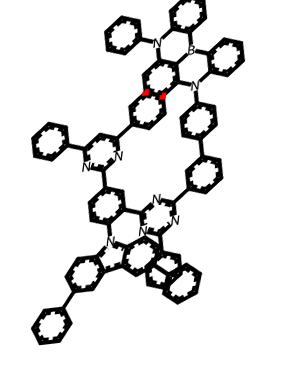 c1ccc(-c2ccc3c(c2)c2cc(-c4ccccc4)ccc2n3-c2ccc(-c3nc(-c4ccccc4)cc(-c4ccccc4)n3)cc2-c2nc(-c3ccccc3)nc(-c3cccc(-c4ccc(N5c6ccccc6B6c7ccccc7N(c7ccccc7)c7cccc5c76)cc4)c3)n2)cc1